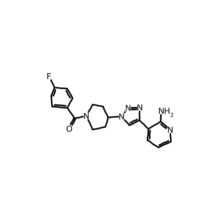 Nc1ncccc1-c1cn(C2CCN(C(=O)c3ccc(F)cc3)CC2)nn1